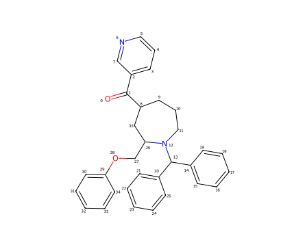 O=C(c1cccnc1)C1CCCN(C(c2ccccc2)c2ccccc2)C(COc2ccccc2)C1